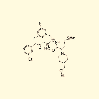 CCOCC1CCN(C(CCSC)C(=O)N[C@@H](Cc2cc(F)cc(F)c2)[C@@H](O)CNCc2cccc(CC)c2)CC1